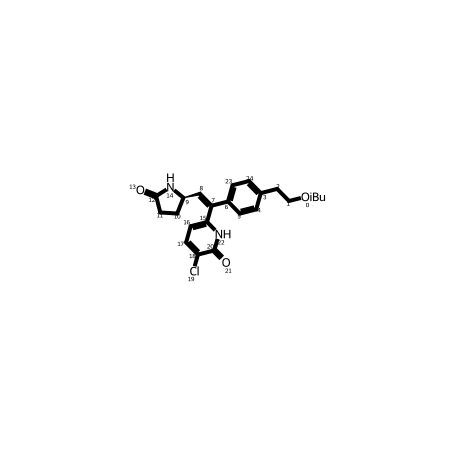 CC(C)COCCc1ccc(C(=C[C@H]2CCC(=O)N2)c2ccc(Cl)c(=O)[nH]2)cc1